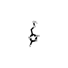 COCc1nc([S])n[nH]1